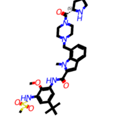 COc1c(NC(=O)c2cc3cccc(CN4CCN(C(=O)[C@@H]5CCCN5)CC4)c3n2C)cc(C(C)(C)C)cc1NS(C)(=O)=O